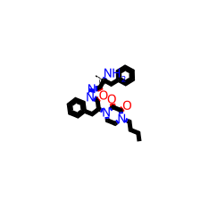 CCCCN1CCN(C(Cc2ccccc2)c2nnc([C@@](C)(N)Cc3ccccc3)o2)C(=O)C1=O